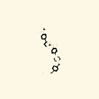 CC(=O)Nc1ccc(-c2ccnc(Nc3ccc(N4CCN(C(=O)c5ccc(CN)cc5)CC4)cc3)n2)cc1